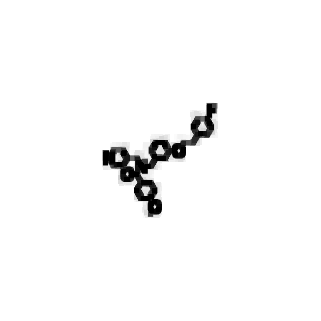 COc1ccc(C(=O)N(Cc2ccncc2)Cc2cccc(OCCc3ccc(F)cc3)c2)cc1